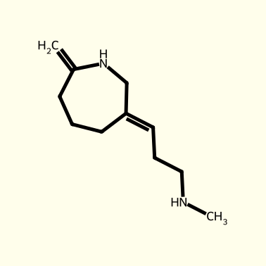 C=C1CCC/C(=C\CCNC)CN1